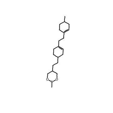 CB1OCC(CCC2CC=C(CCC3=CCC(C)CC3)CC2)CO1